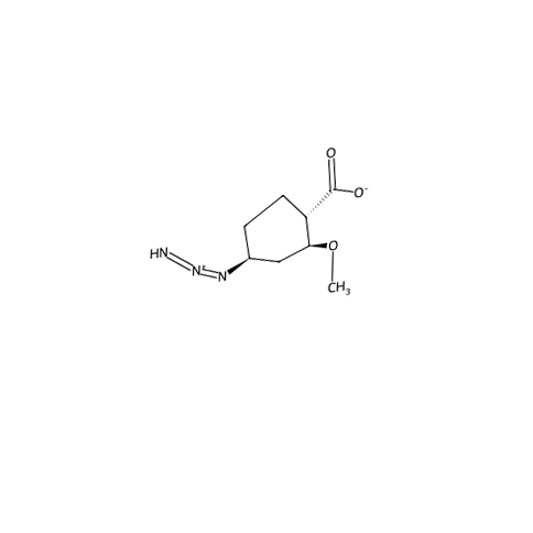 CO[C@H]1C[C@@H](N=[N+]=N)CC[C@@H]1C(=O)[O-]